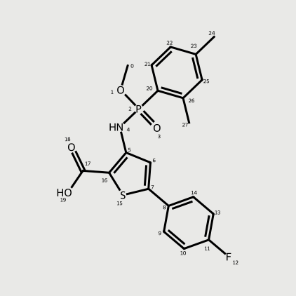 COP(=O)(Nc1cc(-c2ccc(F)cc2)sc1C(=O)O)c1ccc(C)cc1C